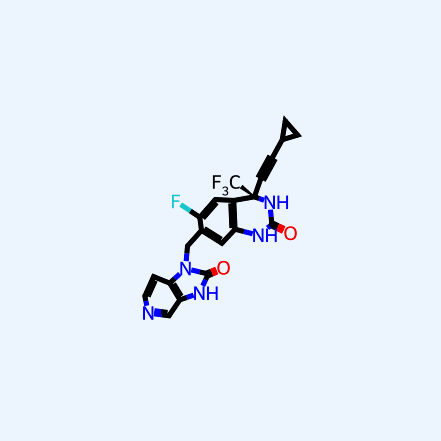 O=C1Nc2cc(Cn3c(=O)[nH]c4cnccc43)c(F)cc2[C@@](C#CC2CC2)(C(F)(F)F)N1